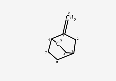 C=C1CC2CCC1CC2